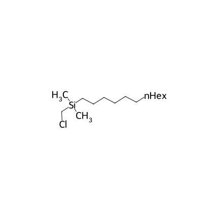 CCCCCCCCCCCC[Si](C)(C)CCl